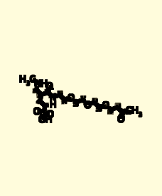 CNCC(CCS(=O)(=O)O)C(=O)NCCOCCOCCOCCC(C)=O